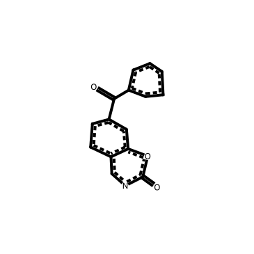 O=C(c1ccccc1)c1ccc2cnc(=O)oc2c1